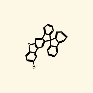 Brc1ccc2sc3cc4c(cc3c2c1)C1(c2ccccc2-c2ccccc21)c1ccccc1-4